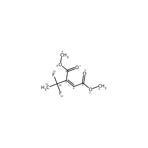 COC(=O)/C=C(\C(=O)OC)C(C)(F)F